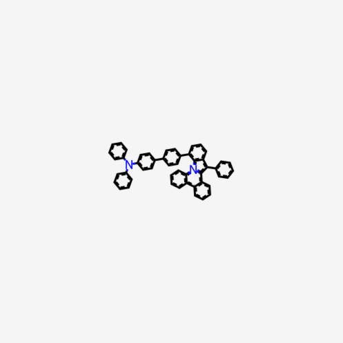 c1ccc(-c2c3cccc(-c4ccc(-c5ccc(N(c6ccccc6)c6ccccc6)cc5)cc4)c3n3c4ccccc4c4ccccc4c23)cc1